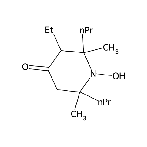 CCCC1(C)CC(=O)C(CC)C(C)(CCC)N1O